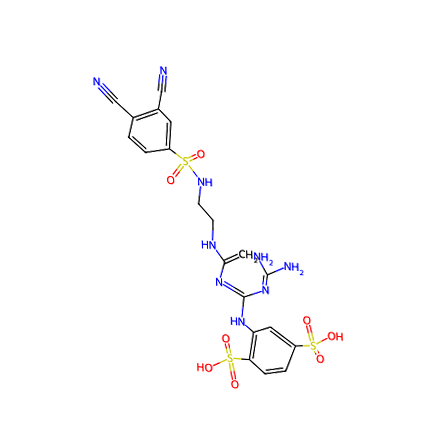 C=C(/N=C(\N=C(N)N)Nc1cc(S(=O)(=O)O)ccc1S(=O)(=O)O)NCCNS(=O)(=O)c1ccc(C#N)c(C#N)c1